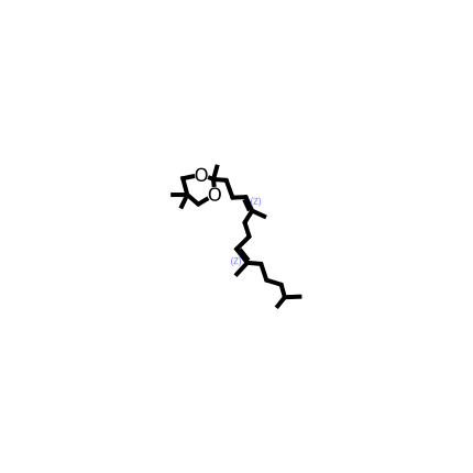 C/C(=C/CCC1(C)OCC(C)(C)CO1)CC/C=C(/C)CCCC(C)C